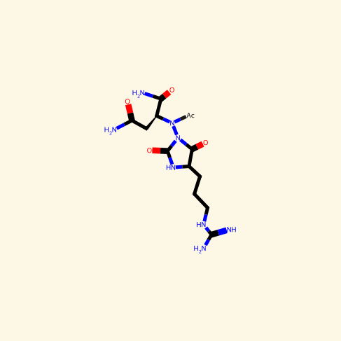 CC(=O)N([C@@H](CC(N)=O)C(N)=O)N1C(=O)NC(CCCNC(=N)N)C1=O